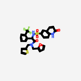 O=C(C(NS(=O)(=O)c1ccc2[nH]c(=O)ccc2c1)c1ccccc1C(F)(F)F)N(Cc1ccco1)Cc1cccs1